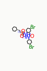 O=C(Nc1ccc(Br)cc1)c1cc(Br)ccc1NS(=O)(=O)/C=C/c1ccccc1